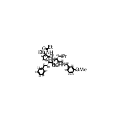 CCC(=O)N[C@]1([C@@H](C)CC)CCN([C@@H](CCc2ccccc2)C(=O)N[C@H](CC(C)C)[C@@H](O)CNCc2cccc(OC)c2)C1=O